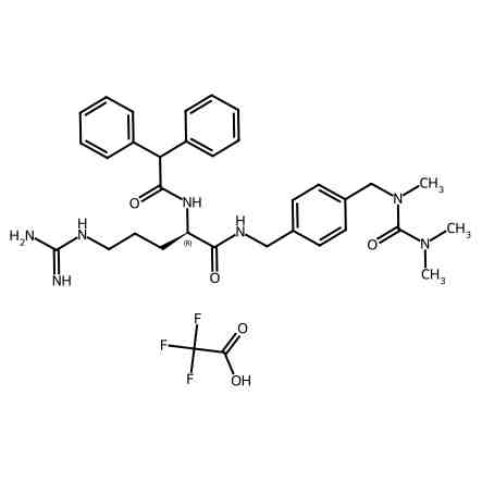 CN(C)C(=O)N(C)Cc1ccc(CNC(=O)[C@@H](CCCNC(=N)N)NC(=O)C(c2ccccc2)c2ccccc2)cc1.O=C(O)C(F)(F)F